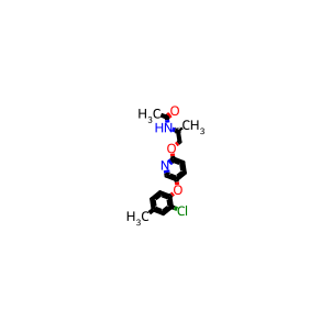 CC(=O)N[C@@H](C)COc1ccc(Oc2ccc(C)cc2Cl)cn1